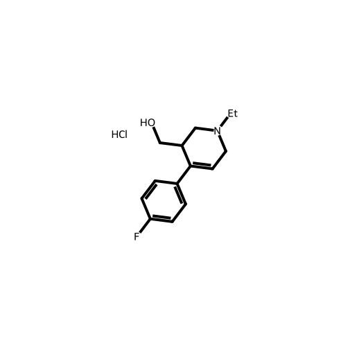 CCN1CC=C(c2ccc(F)cc2)C(CO)C1.Cl